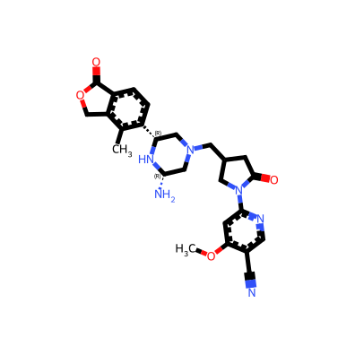 COc1cc(N2CC(CN3C[C@@H](c4ccc5c(c4C)COC5=O)N[C@@H](N)C3)CC2=O)ncc1C#N